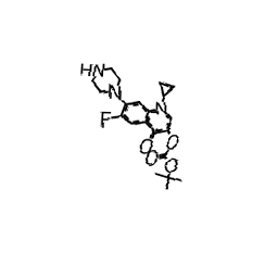 CC(C)(C)OC(=O)Oc1cn(C2CC2)c2cc(N3CCNCC3)c(F)cc2c1=O